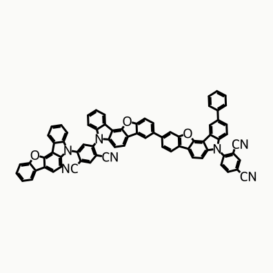 N#Cc1ccc(-n2c3ccc(-c4ccccc4)cc3c3c4oc5cc(-c6ccc7oc8c(ccc9c8c8ccccc8n9-c8cc(-n9c%10ccccc%10c%10c%11oc%12ccccc%12c%11ccc%109)c(C#N)cc8C#N)c7c6)ccc5c4ccc32)c(C#N)c1